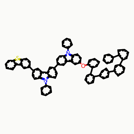 c1ccc(-c2ccccc2-c2cccc(-c3ccc(-c4ccccc4-c4ccccc4Oc4ccc5c(c4)c4cc(-c6ccc7c(c6)c6cc(-c8ccc9sc%10ccccc%10c9c8)ccc6n7-c6ccccc6)ccc4n5-c4ccccc4)cc3)c2)cc1